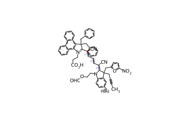 CC#CCC1(Cc2ccc([N+](=O)[O-])o2)/C(=C(C#N)/C=C/C=C(\C#N)C2=[N+](CCC(=O)O)c3c(c4ccccc4c4ccccc34)C2(Cc2ccccc2)Cc2ccccc2)N(CCOC=O)c2ccc(CCCC)cc21